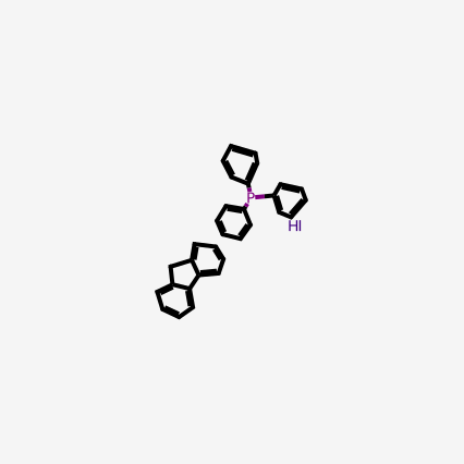 I.c1ccc(P(c2ccccc2)c2ccccc2)cc1.c1ccc2c(c1)Cc1ccccc1-2